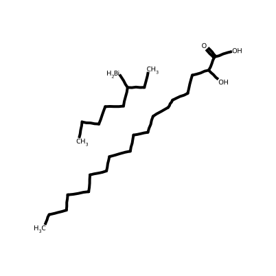 CCCCCCCCCCCCCCCCC(O)C(=O)O.CCCCC[CH]([BiH2])CC